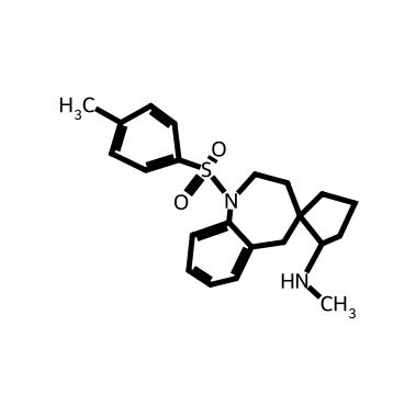 CNC1CCCC12CCN(S(=O)(=O)c1ccc(C)cc1)c1ccccc1C2